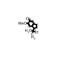 CCC(C)(C)C1CCc2cc(Cl)c(OC)cc21